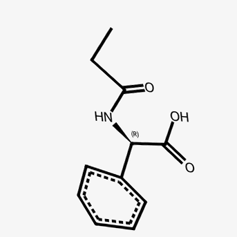 CCC(=O)N[C@@H](C(=O)O)c1ccccc1